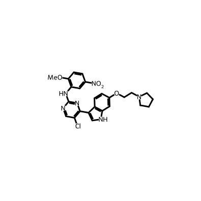 COc1ccc([N+](=O)[O-])cc1Nc1ncc(Cl)c(-c2c[nH]c3cc(OCCN4CCCC4)ccc23)n1